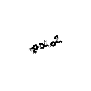 CCCC(c1ccc(OCCC2(O)CCN(c3ccc(C#N)c(C(F)(F)F)c3)CC2)cc1)N1CCCC1